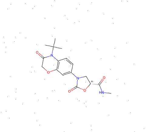 CNC(=O)[C@H]1CN(c2ccc3c(c2)OCC(=O)N3C(C)(C)C)C(=O)O1